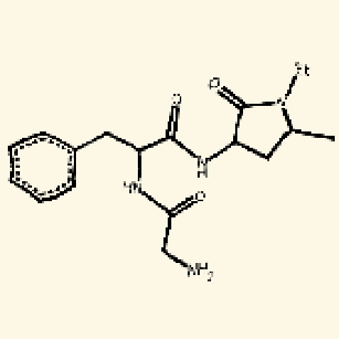 CCN1C(=O)C(NC(=O)C(Cc2ccccc2)NC(=O)CN)CC1C